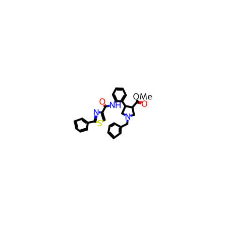 COC(=O)C1CN(Cc2ccccc2)CC1c1ccccc1NC(=O)c1csc(-c2ccccc2)n1